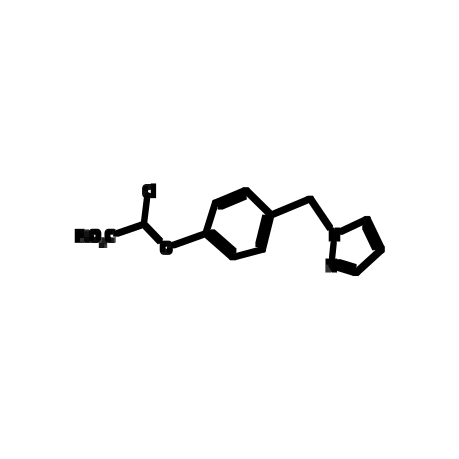 CCOC(=O)C(Cl)Oc1ccc(Cn2cccn2)cc1